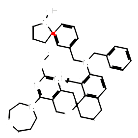 CN1CC[C@@H](COc2nc3c(c(N4CCCOCC4)n2)COC2(CCCc4ccc(N(Cc5ccccc5)Cc5ccccc5)c(C#N)c42)C3)C1